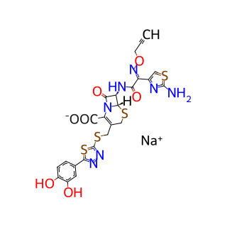 C#CCON=C(C(=O)N[C@@H]1C(=O)N2C(C(=O)[O-])=C(CSc3nnc(-c4ccc(O)c(O)c4)s3)CS[C@@H]12)c1csc(N)n1.[Na+]